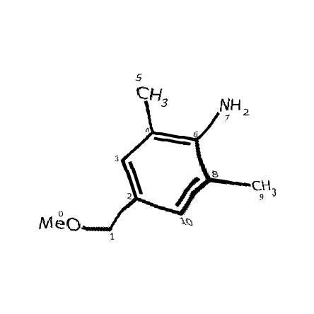 COCc1cc(C)c(N)c(C)c1